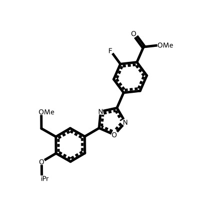 COCc1cc(-c2nc(-c3ccc(C(=O)OC)c(F)c3)no2)ccc1OC(C)C